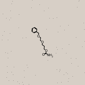 NC(=O)OCCCOCCOCc1ccccc1